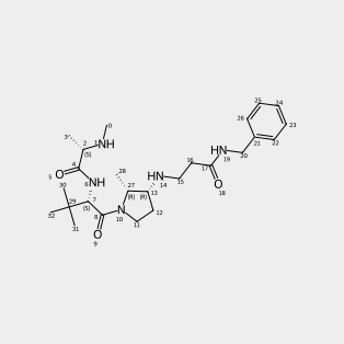 CN[C@@H](C)C(=O)N[C@H](C(=O)N1CC[C@@H](NCCC(=O)NCc2ccccc2)[C@H]1C)C(C)(C)C